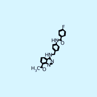 CC(=O)c1cccc2c(NCc3ccc(NC(=O)c4ccc(F)cc4)cc3)ncnc12